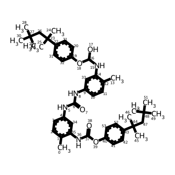 Cc1ccc(NC(=O)Nc2ccc(C)c(NC(O)Oc3ccc(C(C)(C)CC(C)(C)C)cc3)c2)cc1NC(=O)Oc1ccc(C(C)(C)CC(C)(C)C)cc1